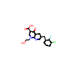 O=C(O)c1cn(CCO)c2ncc(Cc3cccc(Cl)c3F)cc2c1=O